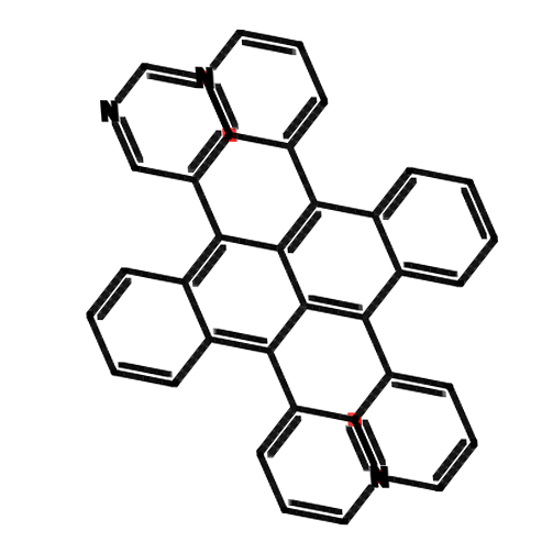 c1cncc(-c2c3ccccc3c(-c3cccnc3)c3c(-c4cccnc4)c4ccccc4c(-c4cccnc4)c23)c1